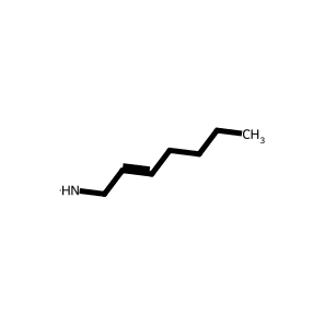 CCCC/C=C/C[NH]